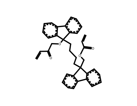 C=CC(=O)COC1(CCCCC2(COC(=O)C=C)c3ccccc3-c3ccccc32)c2ccccc2-c2ccccc21